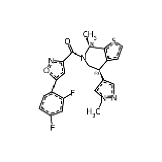 C[C@H]1c2sccc2[C@@H](c2cnn(C)c2)CN1C(=O)c1cc(-c2ccc(F)cc2F)on1